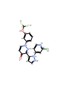 O=c1ccn(-c2cccc(OC(F)F)c2)nc1-c1ccnn1-c1ccnc(Cl)c1